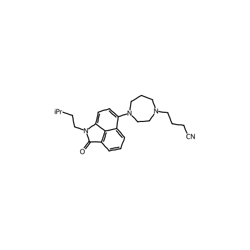 CC(C)CCN1C(=O)c2cccc3c(N4CCCN(CCCC#N)CC4)ccc1c23